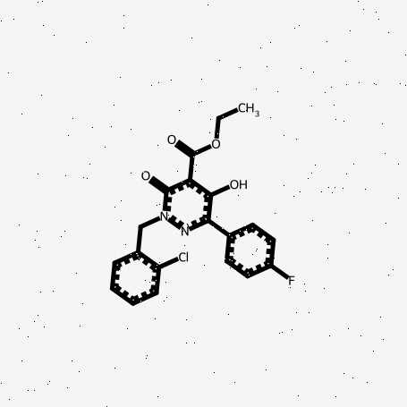 CCOC(=O)c1c(O)c(-c2ccc(F)cc2)nn(Cc2ccccc2Cl)c1=O